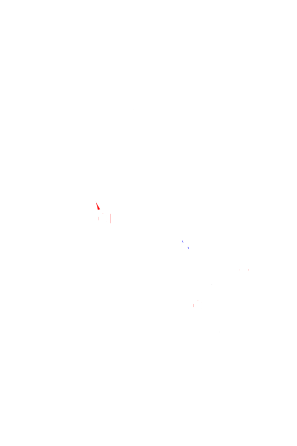 CC[C@H](O)c1cc(C)c(C)cc1C1=CCN(C(=O)OC(C)(C)C)CC1